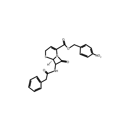 O=C(Cc1ccccc1)NC1C(=O)N2C(C(=O)OCc3ccc([N+](=O)[O-])cc3)=CCS[C@H]12